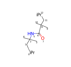 CC(C)CC(C)(C)NC(=O)C(C)(C)CC(C)C